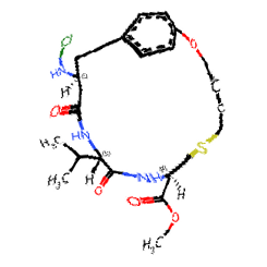 COC(=O)[C@@H]1CSCCCCOc2ccc(cc2)C[C@H](NCl)C(=O)N[C@@H](C(C)C)C(=O)N1